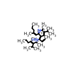 C=C(C)/C(=C(/C)CCC)C(C)NC(/C=C\C)=C(/C=C(\C)C(C)C)C(\C=C(\C)CCC)=N/CC